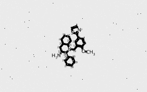 COc1ccc(-c2nccs2)cc1CN1C2CCCCC2C[C@H](N)[C@@H]1c1ccccc1